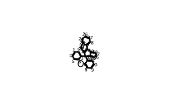 c1ccc2c(c1)Oc1ccccc1C21c2ccccc2-c2c1ccc1ccccc21